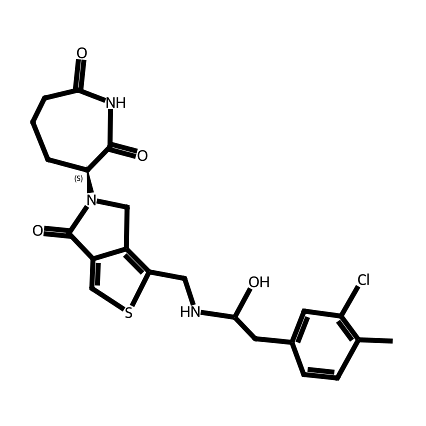 Cc1ccc(CC(O)NCc2scc3c2CN([C@H]2CCCC(=O)NC2=O)C3=O)cc1Cl